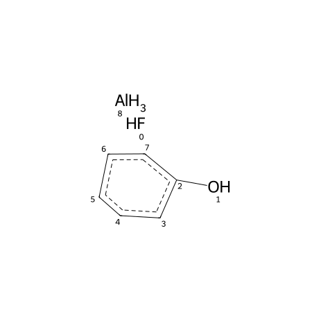 F.Oc1ccccc1.[AlH3]